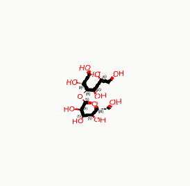 OC[C@@H](O)[C@@H](O)[C@H](O[C@@H]1O[C@H](CO)[C@@H](O)[C@H](O)[C@H]1O)[C@H](O)CO